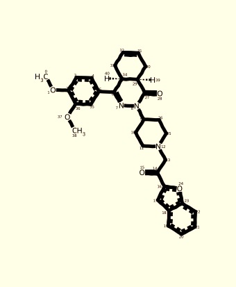 COc1ccc(C2=NN(C3CCN(CC(=O)c4cc5ccccc5o4)CC3)C(=O)[C@@H]3CC=CC[C@H]23)cc1OC